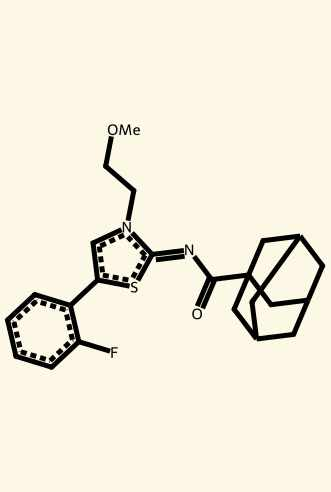 COCCn1cc(-c2ccccc2F)s/c1=N\C(=O)C12CC3CC(CC(C3)C1)C2